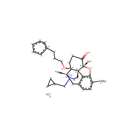 COc1ccc2c3c1O[C@H]1C(=O)CC[C@@]4(OCCCc5ccccc5)[C@@H](C2)N(CC2CC2)CC[C@]314.Cl